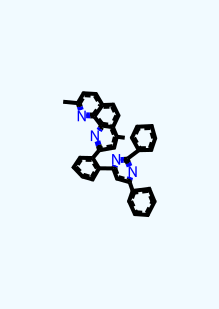 Cc1ccc2ccc3c(C)cc(-c4ccccc4-c4cc(-c5ccccc5)nc(-c5ccccc5)n4)nc3c2n1